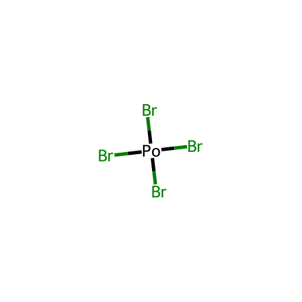 [Br][Po]([Br])([Br])[Br]